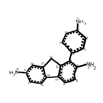 Nc1ccc(-c2c(N)ccc3c2Cc2cc(N)ccc2-3)cc1